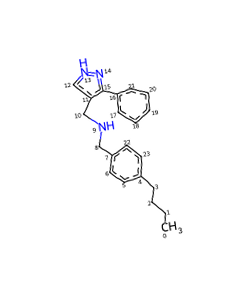 CCCCc1ccc(CNCc2c[nH]nc2-c2ccccc2)cc1